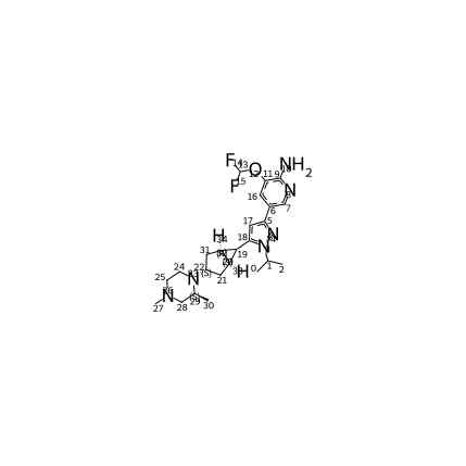 CC(C)n1nc(-c2cnc(N)c(OC(F)F)c2)cc1C1[C@H]2C[C@H](N3CCN(C)C[C@@H]3C)C[C@@H]12